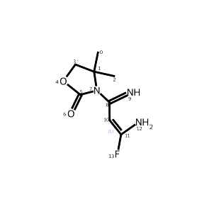 CC1(C)COC(=O)N1C(=N)/C=C(\N)F